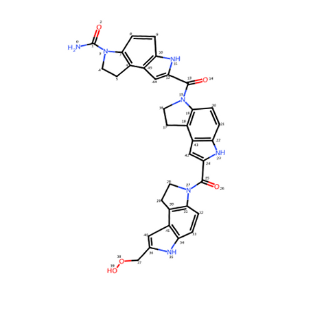 NC(=O)N1CCc2c1ccc1[nH]c(C(=O)N3CCc4c3ccc3[nH]c(C(=O)N5CCc6c5ccc5[nH]c(COO)cc65)cc43)cc21